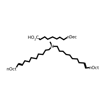 CCCCCCCCC=CCCCCCCCCN(C)CCCCCCCCC=CCCCCCCCC.CCCCCCCCCCCCCCCCCC(=O)O